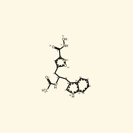 CC(=O)NC(Cc1cc(C(=O)NO)no1)Cc1c[nH]c2ccccc12